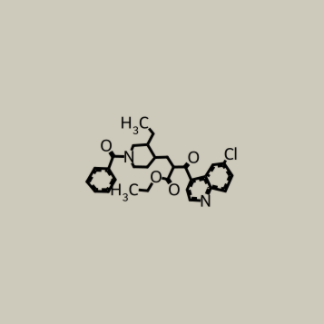 CCOC(=O)C(CC1CCN(C(=O)c2ccccc2)CC1CC)C(=O)c1ccnc2ccc(Cl)cc12